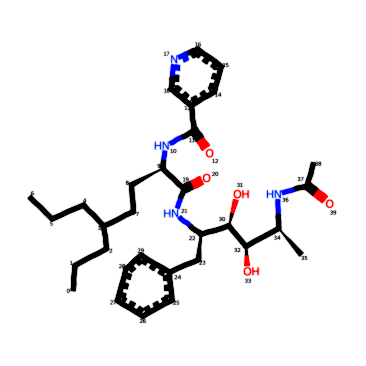 CCCC(CCC)CC[C@@H](NC(=O)c1cccnc1)C(=O)N[C@H](Cc1ccccc1)[C@@H](O)[C@H](O)[C@H](C)NC(C)=O